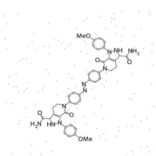 COc1ccc(N2NC(C(N)=O)C3=C2C(=O)N(c2ccc(/N=N/c4ccc(N5CCC6=C(C5=O)N(c5ccc(OC)cc5)NC6C(N)=O)cc4)cc2)CC3)cc1